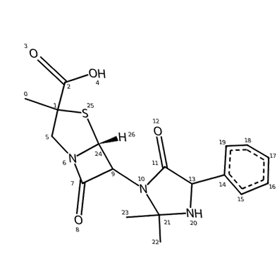 CC1(C(=O)O)CN2C(=O)C(N3C(=O)C(c4ccccc4)NC3(C)C)[C@H]2S1